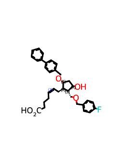 O=C(O)CCC/C=C\C[C@@H]1[C@@H](COCc2ccc(F)cc2)[C@H](O)C[C@@H]1OCc1ccc(-c2ccccc2)cc1